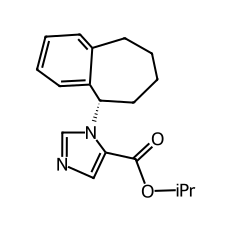 CC(C)OC(=O)c1cncn1[C@H]1CCCCc2ccccc21